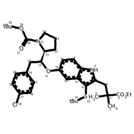 CCOC(=O)C(C)(C)Cc1[nH]c2ccc(OC(Cc3ccc(Cl)cc3)[C@@H]3CCCN3C(=O)OC(C)(C)C)cc2c1SC(C)(C)C